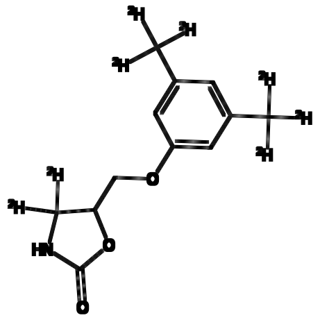 [2H]C([2H])([2H])c1cc(OCC2OC(=O)NC2([2H])[2H])cc(C([2H])([2H])[2H])c1